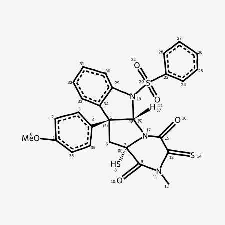 COc1ccc([C@]23C[C@]4(S)C(=O)N(C)C(=S)C(=O)N4[C@H]2N(S(=O)(=O)c2ccccc2)c2ccccc23)cc1